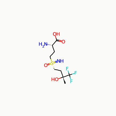 C[C@@](O)(CC[S@](=N)(=O)CC[C@H](N)C(=O)O)C(F)(F)F